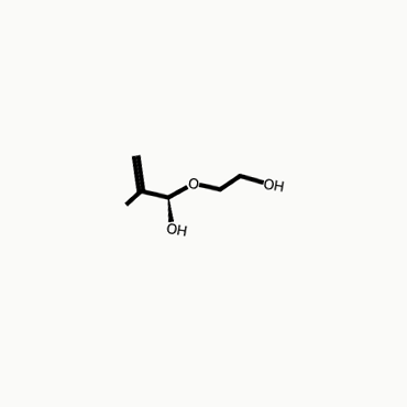 C=C(C)[C@H](O)OCCO